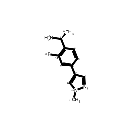 C[C@H](N)c1ccc(-c2cnn(C)c2)cc1F